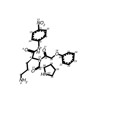 NCCC[C@@H](C(=O)Nc1ccc([N+](=O)[O-])cc1)N(C(=O)COc1ccccc1)C(=O)[C@@H]1CCCN1